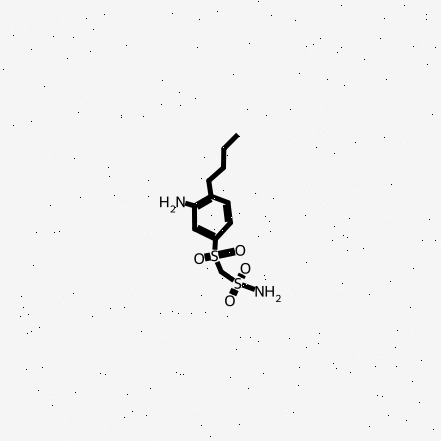 CCCCc1ccc(S(=O)(=O)CS(N)(=O)=O)cc1N